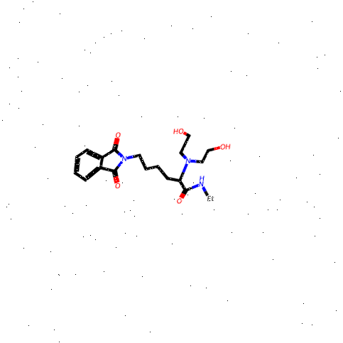 CCNC(=O)C(CCCCN1C(=O)c2ccccc2C1=O)N(CCO)CCO